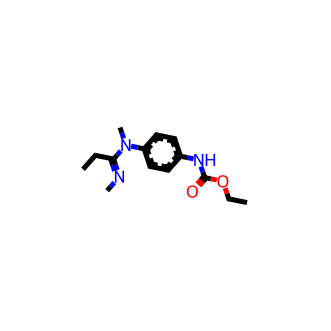 CCOC(=O)Nc1ccc(N(C)C(CC)=NC)cc1